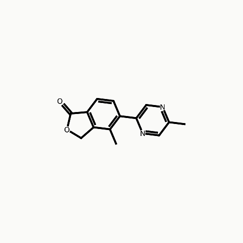 Cc1cnc(-c2ccc3c(c2C)COC3=O)cn1